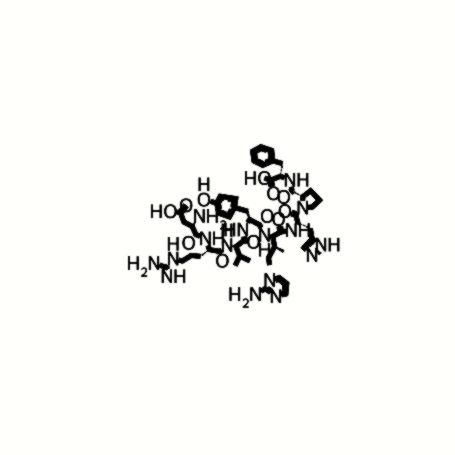 CC[C@H](C)[C@H](NC(=O)[C@H](Cc1ccc(O)cc1)NC(=O)[C@@H](NC(=O)[C@H](CCCNC(=N)N)NC(=O)[C@@H](N)CC(=O)O)C(C)C)C(=O)N[C@@H](Cc1cnc[nH]1)C(=O)N1CCC[C@H]1C(=O)N[C@@H](Cc1ccccc1)C(=O)O.Nc1ncccn1